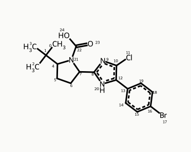 CC(C)(C)C1CCC(c2nc(Cl)c(-c3ccc(Br)cc3)[nH]2)N1C(=O)O